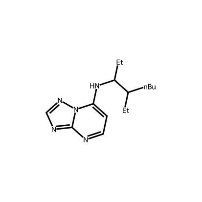 CCCCC(CC)C(CC)Nc1ccnc2ncnn12